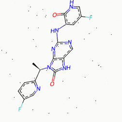 C[C@H](c1ccc(F)cn1)n1c(=O)[nH]c2cnc(Nc3cc(F)c[nH]c3=O)nc21